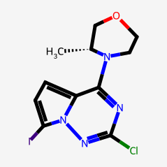 C[C@@H]1COCCN1c1nc(Cl)nn2c(I)ccc12